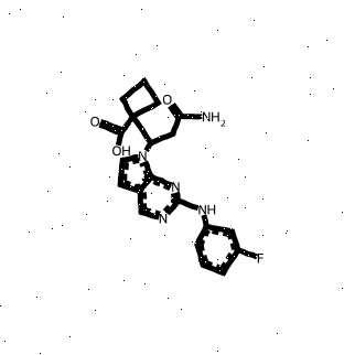 NC(=O)CC(n1ccc2cnc(Nc3cccc(F)c3)nc21)C1(C(=O)O)CCC1